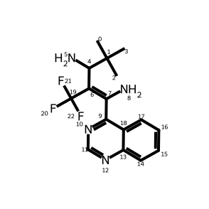 CC(C)(C)C(N)/C(=C(\N)c1ncnc2ccccc12)C(F)(F)F